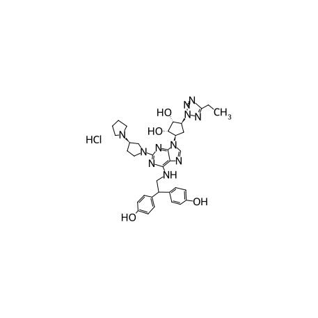 CCc1nnn([C@H]2C[C@@H](n3cnc4c(NCC(c5ccc(O)cc5)c5ccc(O)cc5)nc(N5CC[C@@H](N6CCCC6)C5)nc43)[C@H](O)[C@@H]2O)n1.Cl